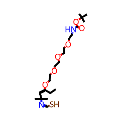 CC/C(=C\C(C)(C)/N=C\S)OCCOCCOCCOCCNC(=O)OC(C)(C)C